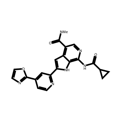 CNC(=O)c1cnc(NC(=O)C2CC2)c2[nH]c(-c3cc(-c4ncco4)ccn3)cc12